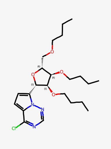 CCCCOC[C@H]1O[C@@H](c2ccc3c(Cl)ncnn23)[C@H](OCCCC)[C@@H]1OCCCC